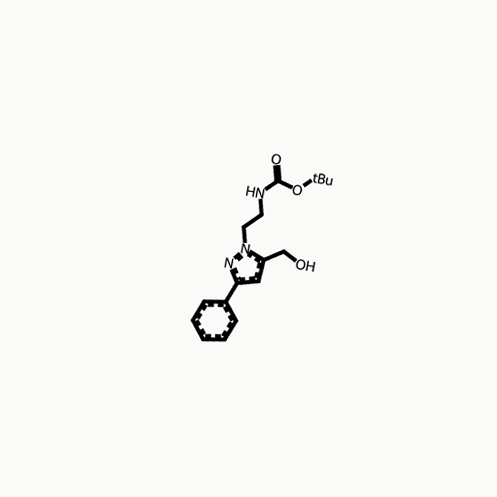 CC(C)(C)OC(=O)NCCn1nc(-c2ccccc2)cc1CO